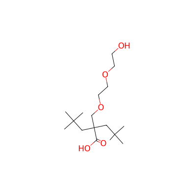 CC(C)(C)CC(COCCOCCO)(CC(C)(C)C)C(=O)O